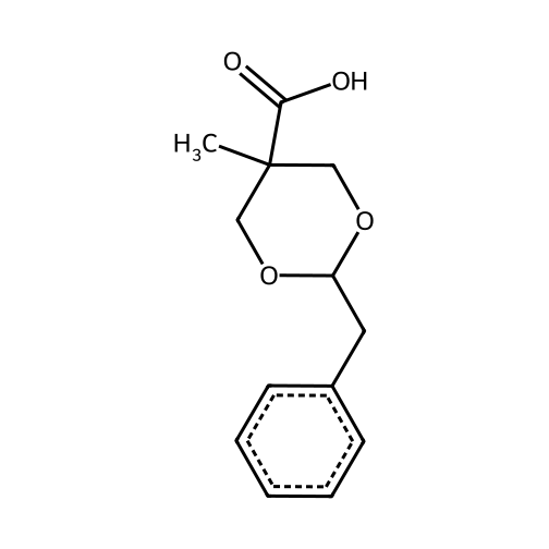 CC1(C(=O)O)COC(Cc2ccccc2)OC1